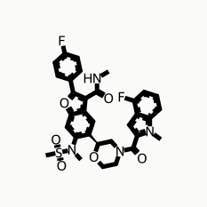 CNC(=O)c1c(-c2ccc(F)cc2)oc2cc(N(C)S(C)(=O)=O)c([C@H]3CN(C(=O)c4cc5c(F)cccc5n4C)CCO3)cc12